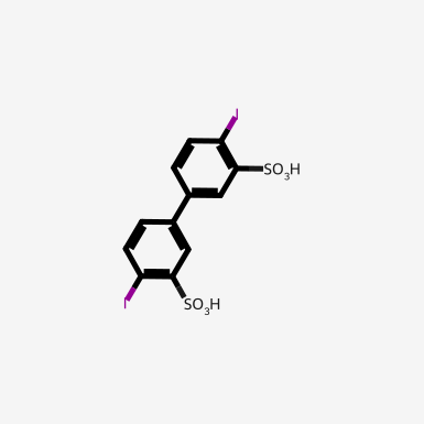 O=S(=O)(O)c1cc(-c2ccc(I)c(S(=O)(=O)O)c2)ccc1I